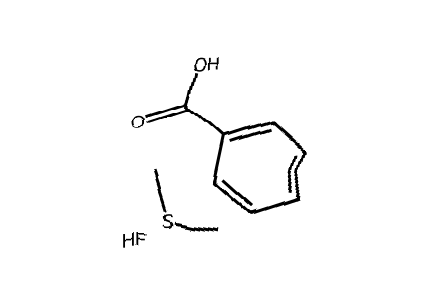 CSC.F.O=C(O)c1ccccc1